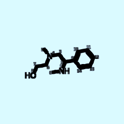 CNC(CN(C)CCO)c1ccccc1